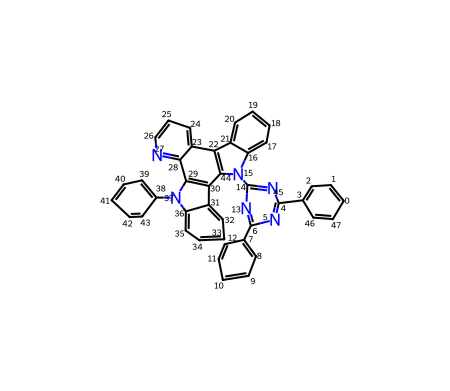 c1ccc(-c2nc(-c3ccccc3)nc(-n3c4ccccc4c4c5cccnc5c5c(c6ccccc6n5-c5ccccc5)c43)n2)cc1